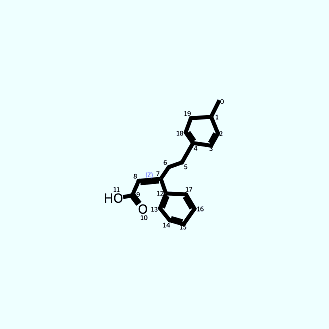 CC1C=CC(CC/C(=C/C(=O)O)c2ccccc2)=CC1